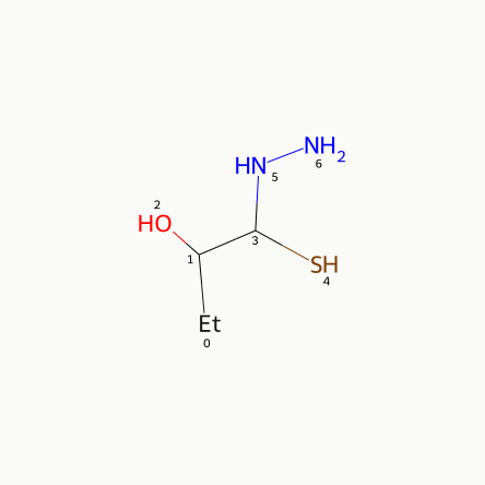 CCC(O)C(S)NN